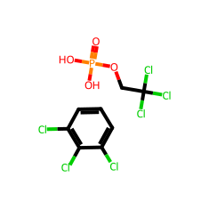 Clc1cccc(Cl)c1Cl.O=P(O)(O)OCC(Cl)(Cl)Cl